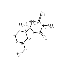 CCN1CCCC([C@]2(C)CC(=O)N(C)C(=N)N2)C1